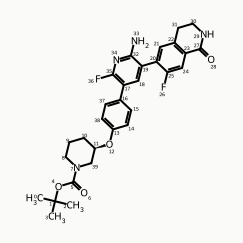 CC(C)(C)OC(=O)N1CCC[C@@H](Oc2ccc(-c3cc(-c4cc5c(cc4F)C(=O)NCC5)c(N)nc3F)cc2)C1